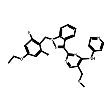 CCOc1cc(F)c(Cn2nc(-c3ncc(CSC)c(Nc4ccncc4)n3)c3ccccc32)c(F)c1